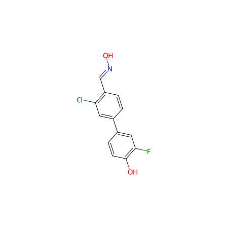 ON=Cc1ccc(-c2ccc(O)c(F)c2)cc1Cl